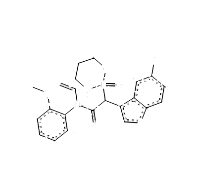 C=CN(C(=O)C(c1csc2ccc(Cl)cc12)P1(=O)OCCCO1)c1ccccc1OC